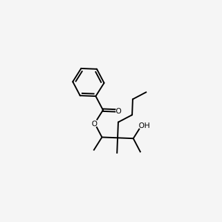 CCCCC(C)(C(C)O)C(C)OC(=O)c1ccccc1